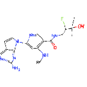 CC(C)Nc1cc(-n2ccc3cnc(N)nc32)ncc1C(=O)NCC(F)C(C)(C)O